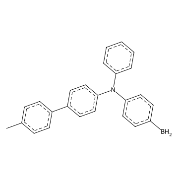 Bc1ccc(N(c2ccccc2)c2ccc(-c3ccc(C)cc3)cc2)cc1